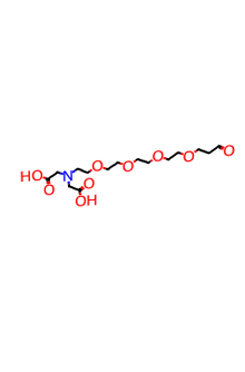 O=CCCOCCOCCOCCOCCN(CC(=O)O)CC(=O)O